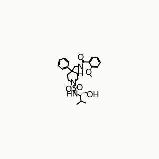 COc1ccccc1C(=O)NCC1(c2ccccc2)CCN(S(=O)(=O)N[C@H](CO)C(C)C)CC1